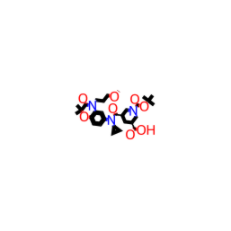 COCCCN1C(=O)C(C)(C)Oc2ccc(N(C(=O)[C@@H]3C[C@H](C(=O)O)CN(C(=O)OC(C)(C)C)C3)C3CC3)cc21